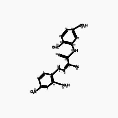 CC(=O)C(=NNc1ccc([N+](=O)[O-])cc1S(=O)(=O)O)C(=O)Nc1cc(S(=O)(=O)O)ccc1C=O